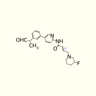 CC(C=O)c1cccc(-c2ccc(NC(=O)/C=C/CN3CCCC(F)C3)nc2)c1